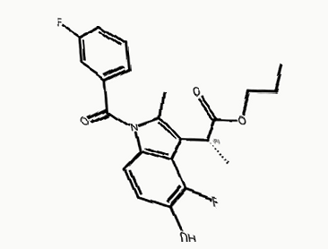 CCCOC(=O)[C@H](C)c1c(C)n(C(=O)c2cccc(F)c2)c2ccc(O)c(F)c12